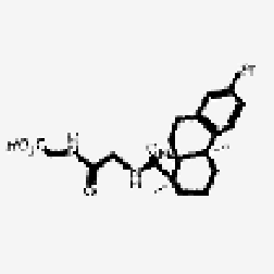 CC(C)c1ccc2c(c1)CC[C@H]1[C@](C)(C(=O)NCC(=O)NCC(=O)O)CCC[C@]21C